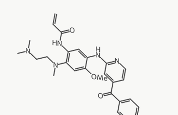 C=CC(=O)Nc1cc(Nc2cc(C(=O)c3ccc(OCC(C)C)cc3)ccn2)c(OC)cc1N(C)CCN(C)C